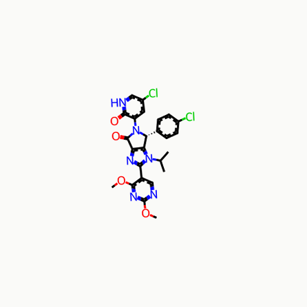 COc1ncc(-c2nc3c(n2C(C)C)[C@@H](c2ccc(Cl)cc2)N(c2cc(Cl)c[nH]c2=O)C3=O)c(OC)n1